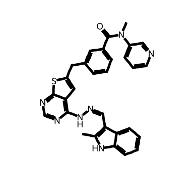 Cc1[nH]c2ccccc2c1/C=N\Nc1ncnc2sc(Cc3cccc(C(=O)N(C)c4cccnc4)c3)cc12